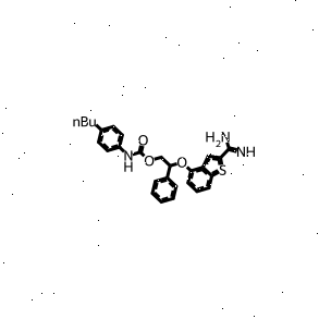 CCCCc1ccc(NC(=O)OCC(Oc2cccc3sc(C(=N)N)cc23)c2ccccc2)cc1